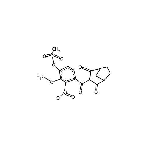 COc1c(OS(C)(=O)=O)ccc(C(=O)C2C(=O)C3CCC(C3)C2=O)c1[N+](=O)[O-]